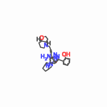 Nc1nnc(-c2ccccc2O)cc1N1CC2CCC(C1)N2c1ccnc(C#CCN2CCC[C@@H]3OCC[C@@H]32)c1